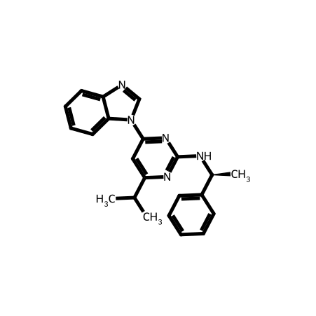 CC(C)c1cc(-n2cnc3ccccc32)nc(N[C@@H](C)c2ccccc2)n1